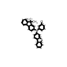 CC1(C)c2ccccc2-c2ccc(N(c3cccc(Cl)c3)c3ccc4c(c3)sc3ccccc34)cc21